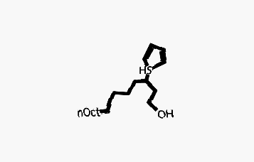 CCCCCCCCCCCCC(CCO)[SH]1C=CC=C1